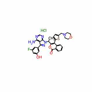 CC(c1oc(=O)c2ccccc2c1-c1ccc(CN2CCOCC2)s1)n1nc(-c2cc(O)cc(F)c2)c2c(N)ncnc21.Cl